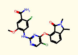 COc1cc(C(N)=O)c(F)cc1Nc1ncc(Cl)c(Oc2cccc3c2C(=O)N(C)C3C)n1